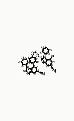 N#Cc1cc(-c2ccc3c(c2)OCO3)c2c(c1)ncn2-c1ccccc1.N#Cc1cc(I)c2c(c1)ncn2-c1ccccc1